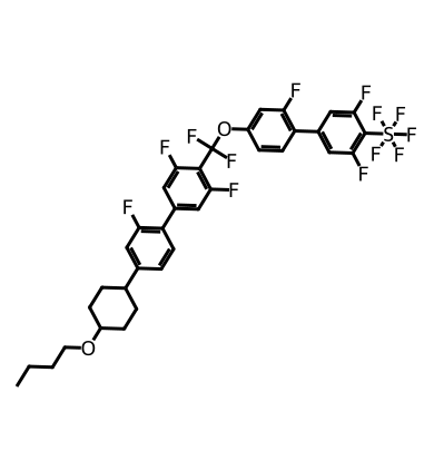 CCCCOC1CCC(c2ccc(-c3cc(F)c(C(F)(F)Oc4ccc(-c5cc(F)c(S(F)(F)(F)(F)F)c(F)c5)c(F)c4)c(F)c3)c(F)c2)CC1